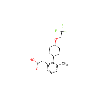 Cc1cccc(CC(=O)O)c1C1CCC(OCC(F)(F)F)CC1